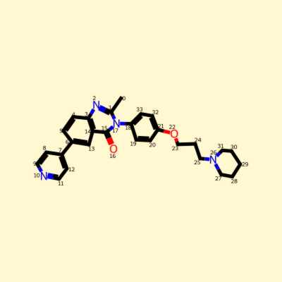 Cc1nc2ccc(-c3ccncc3)cc2c(=O)n1-c1ccc(OCCCN2CCCCC2)cc1